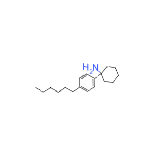 CCCCCCc1ccc(C2(N)CCCCC2)cc1